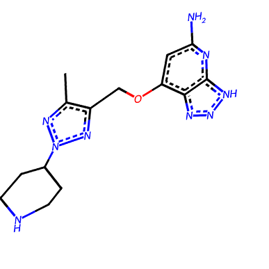 Cc1nn(C2CCNCC2)nc1COc1cc(N)nc2[nH]nnc12